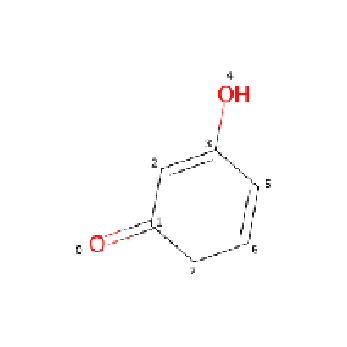 O=C1C=C(O)C=CC1